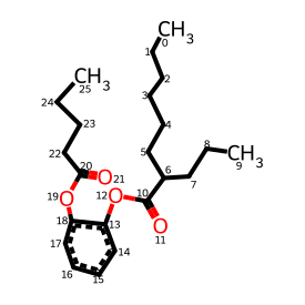 CCCCCCC(CCC)C(=O)Oc1ccccc1OC(=O)CCCC